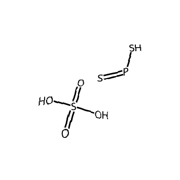 O=S(=O)(O)O.S=PS